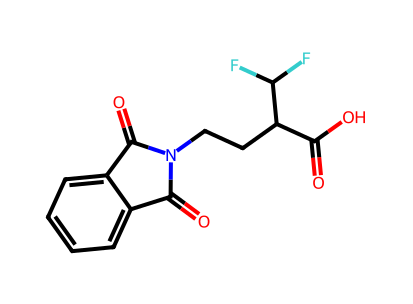 O=C(O)C(CCN1C(=O)c2ccccc2C1=O)C(F)F